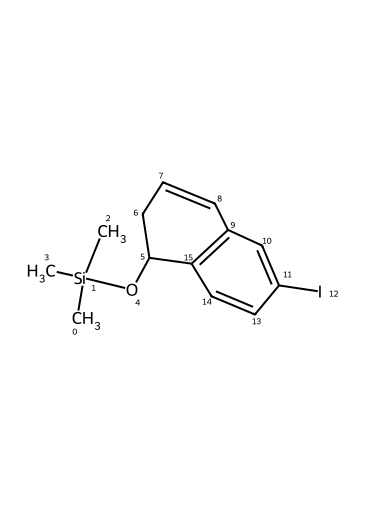 C[Si](C)(C)OC1CC=Cc2cc(I)ccc21